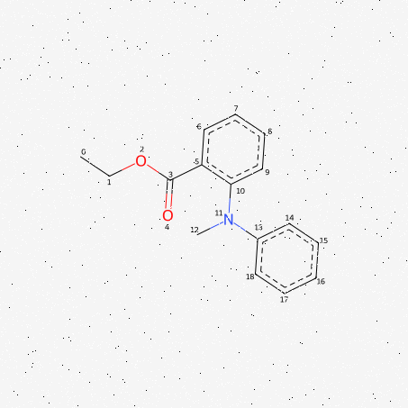 CCOC(=O)c1ccccc1N(C)c1ccccc1